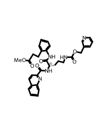 COC(=O)CCc1ccccc1NC(=O)[C@H](CCCNC(=O)OCc1cccnc1)NC(=O)c1ccc2ccccc2n1